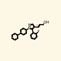 OC/C=C/c1cnn(-c2ccc(-c3ccccc3)cc2)c1-c1ccccc1F